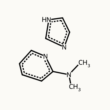 CN(C)c1ccccn1.c1c[nH]cn1